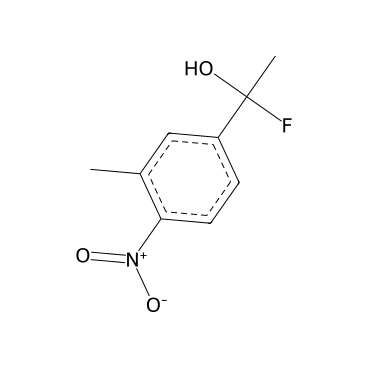 Cc1cc(C(C)(O)F)ccc1[N+](=O)[O-]